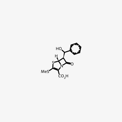 CSC1=C(C(=O)O)N2C(=O)[C@H](C(O)c3ccccc3)[C@H]2S1